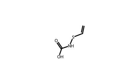 C=CSNC(=O)O